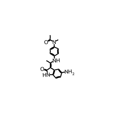 CC(=O)N(C)c1ccc(NC(C)=C2C(=O)Nc3ccc(N)cc32)cc1